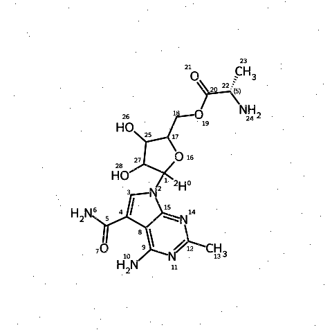 [2H]C1(n2cc(C(N)=O)c3c(N)nc(C)nc32)OC(COC(=O)[C@H](C)N)C(O)C1O